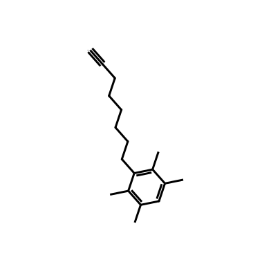 [C]#CCCCCCCc1c(C)c(C)cc(C)c1C